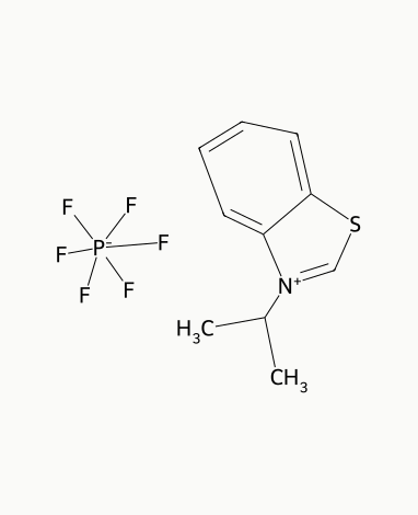 CC(C)[n+]1csc2ccccc21.F[P-](F)(F)(F)(F)F